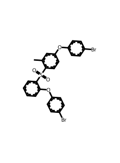 Cc1cc(Oc2ccc(Br)cc2)ccc1S(=O)(=O)c1ccccc1Oc1ccc(Br)cc1